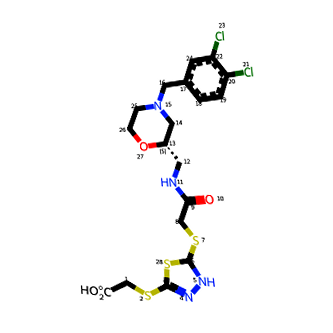 O=C(O)CSC1=NNC(SCC(=O)NC[C@H]2CN(Cc3ccc(Cl)c(Cl)c3)CCO2)S1